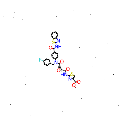 COC(=O)c1csc(NC(=O)[C@H]2O[C@@H]2C(=O)N(Cc2ccc(F)cc2)c2ccc(C(=O)Nc3nc4ccccc4s3)cc2)n1